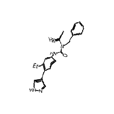 CCc1cc(NC(=O)N(Cc2ccccc2)C(C)=N)ccc1-c1cn[nH]c1